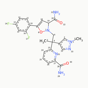 Cn1cc(C(C)(CN2OC(c3ccc(F)cc3F)=CC2C(N)=O)c2cccc(C(N)=O)n2)cn1